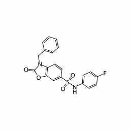 O=c1oc2cc(S(=O)(=O)Nc3ccc(F)cc3)ccc2n1Cc1ccccc1